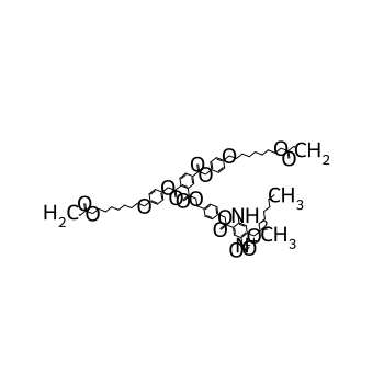 C=CC(=O)OCCCCCCCOc1ccc(OC(=O)c2ccc(C(=O)Oc3ccc(OCCCCCCCOC(=O)C=C)cc3)c(C(=O)OCc3ccc(OC(=O)c4cc([N+](=O)[O-])c(O[C@@H](C)CCCCCC)cc4N)cc3)c2)cc1